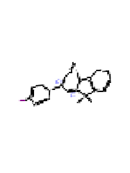 C=C/C=C(\C=C1/C(C)C2=C(C=CCC2)C1(C)C)C1C=CC(I)=CC1